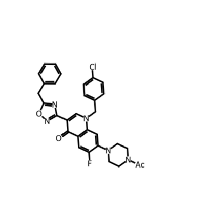 CC(=O)N1CCN(c2cc3c(cc2F)c(=O)c(-c2noc(Cc4ccccc4)n2)cn3Cc2ccc(Cl)cc2)CC1